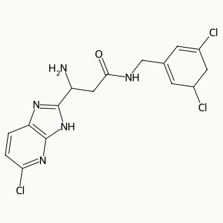 NC(CC(=O)NCC1=CC(Cl)CC(Cl)=C1)c1nc2ccc(Cl)nc2[nH]1